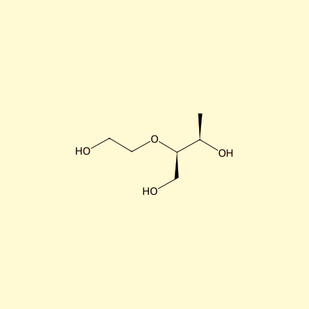 C[C@@H](O)[C@@H](CO)OCCO